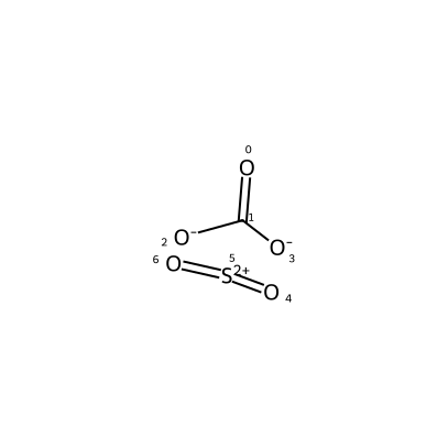 O=C([O-])[O-].O=[S+2]=O